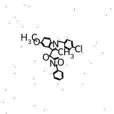 COc1ccc2c(c1)c(C(=O)c1coc(-c3ccccc3)n1)c(C)n2Cc1ccc(Cl)cc1